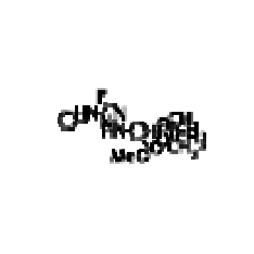 COC(=O)c1cc(Nc2ncc(F)c(NCc3ccccc3)n2)ccc1B1OC(C)(C)C(C)(C)O1